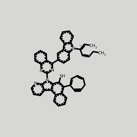 C/C=C(\C=C/CC)n1c2ccccc2c2cc(-c3nc(-n4c5ncccc5c5c6ccccc6c(C6=CC=CCC#C6)c(S)c54)nc4ccccc34)ccc21